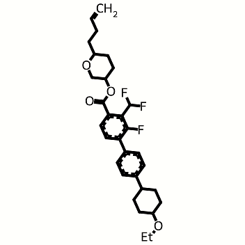 C=CCCC1CCC(OC(=O)c2ccc(-c3ccc(C4CCC(OCC)CC4)cc3)c(F)c2C(F)F)CO1